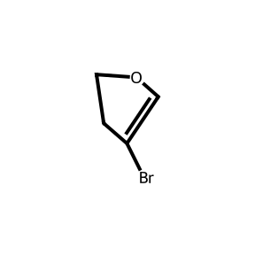 BrC1=COCC1